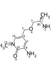 C[C@@H](N)COCc1cc(N)c(=O)n(C)c1